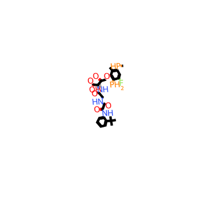 CPc1cc(F)c(P)c(OCC(=O)[C@@H](NC(=O)CNC(=O)C(=O)Nc2ccccc2C(C)(C)C)C(=O)O)c1C